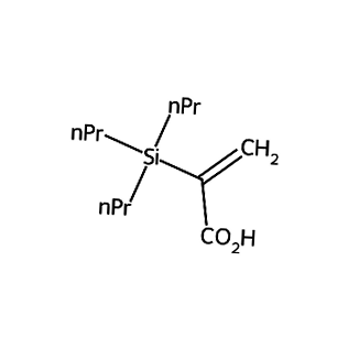 C=C(C(=O)O)[Si](CCC)(CCC)CCC